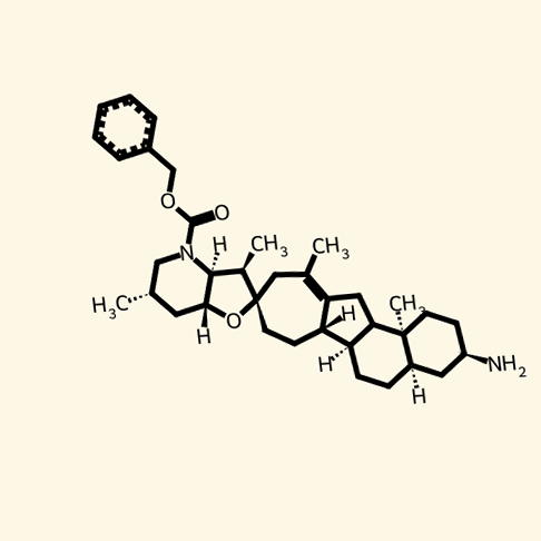 CC1=C2CC3[C@@H](CC[C@@H]4C[C@H](N)CC[C@]34C)[C@@H]2CC[C@@]2(C1)O[C@@H]1C[C@H](C)CN(C(=O)OCc3ccccc3)[C@H]1[C@H]2C